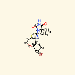 CC1(C)C(=O)NC(=O)N1c1nc2c(s1)CCOc1cc(Br)ccc1-2